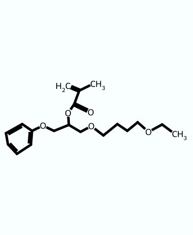 C=C(C)C(=O)OC(COCCCCOCC)COc1ccccc1